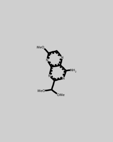 COc1cnc2c(N)nc(C(OC)OC)nc2n1